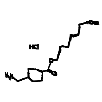 CCCCCCCCCCCCCCCCOC(=O)C1CCC(CN)CC1.Cl